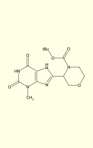 Cn1c(=O)[nH]c(=O)c2[nH]c(C3COCCN3C(=O)OC(C)(C)C)nc21